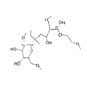 CCC(C)(CC(O)C(OC)[C@H](O)OCCOC)[C@@H]1OC(COC)C(O)C(O)[C@@H]1OC